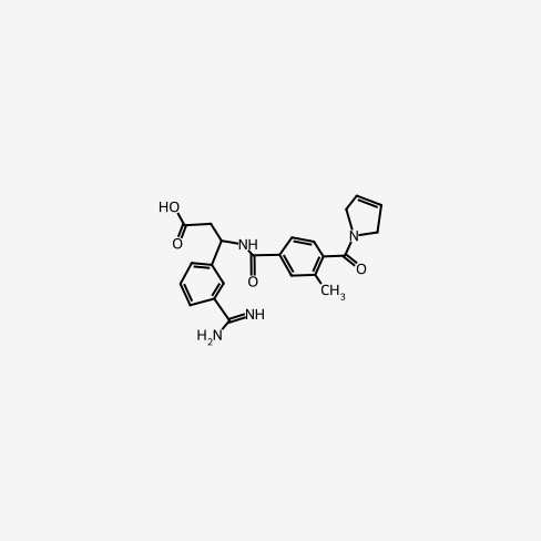 Cc1cc(C(=O)NC(CC(=O)O)c2cccc(C(=N)N)c2)ccc1C(=O)N1CC=CC1